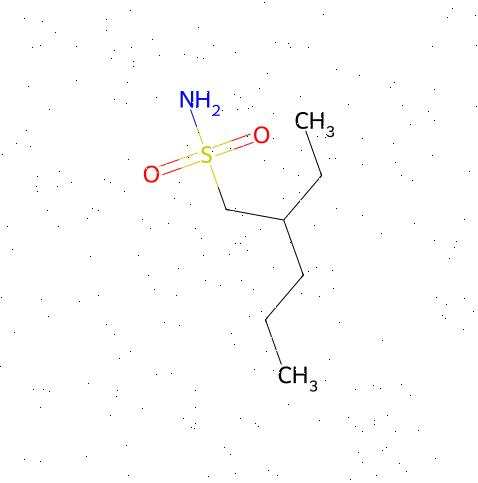 CCCC(CC)CS(N)(=O)=O